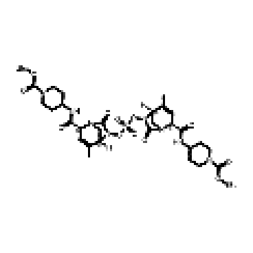 CC1=C[C@@H](C(=O)NC2CCN(C(=O)OC(C)(C)C)CC2)N2C[C@@H]1N(OS(=O)(=O)ON1C(=O)N3C[C@H]1C(C)=C[C@H]3C(=O)NC1CCN(C(=O)OC(C)(C)C)CC1)C2=O